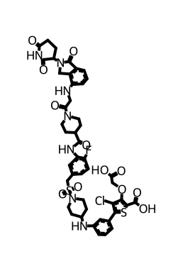 O=C(O)COc1c(C(=O)O)sc(-c2cccc(NC3CCN(S(=O)(=O)Cc4ccc(F)c(NC(=O)C5CCN(C(=O)CNc6cccc7c6CN(C6CCC(=O)NC6=O)C7=O)CC5)c4)CC3)c2)c1Cl